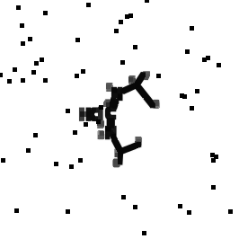 CC(C)N=C=NC(C)C.Cl